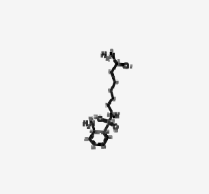 NC(=O)CCCCCNS(=O)(=O)c1ccccc1N